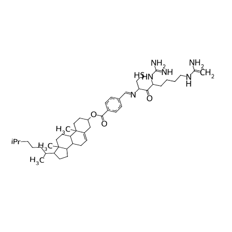 C=C(N)NCCCCC(NC(=N)N)C(=O)C(CS)/N=C/c1ccc(C(=O)OC2CCC3(C)C(=CCC4C3CCC3(C)C(C(C)CCCC(C)C)CCC43)C2)cc1